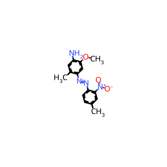 COc1cc(/N=N/c2ccc(C)cc2[N+](=O)[O-])c(C)cc1N